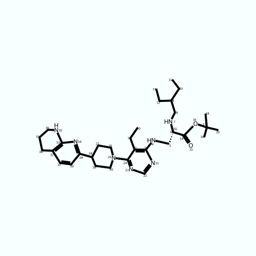 CCc1c(NC[C@H](NCC(CC)CC)C(=O)OC(C)(C)C)ncnc1N1CCC(c2ccc3c(n2)NCCC3)CC1